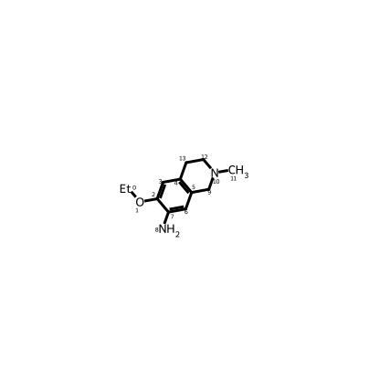 CCOc1cc2c(cc1N)CN(C)CC2